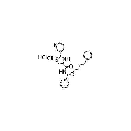 Cl.Cl.O=C(NC(OCCCCc1ccccc1)c1ccccc1)C1CSC(c2cccnc2)N1